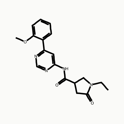 CCN1CC(C(=O)Nc2cc(-c3ccccc3OC)ncn2)CC1=O